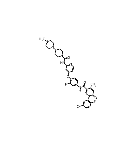 Cc1cc(=O)n(-c2cc(Cl)ccc2F)nc1C(=O)Nc1ccc(Oc2ccnc(NC(=O)N3CCC(N4CCN(C)CC4)CC3)c2)c(F)c1